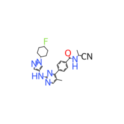 Cc1cnc(Nc2cnn([C@H]3CC[C@@H](F)CC3)c2)nc1-c1ccc(C(=O)N[C@@H](C)C#N)cc1